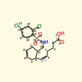 O=C(O)CCC/C=C\C1CC=CCC1CNS(=O)(=O)c1ccc(Cl)cc1Cl